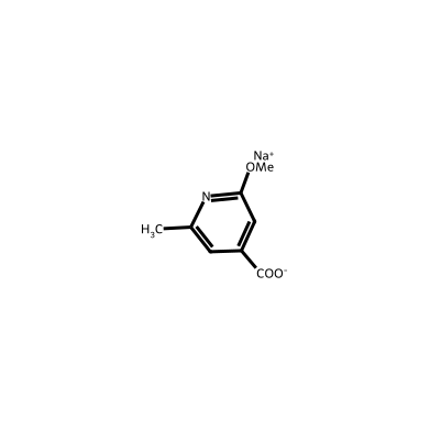 COc1cc(C(=O)[O-])cc(C)n1.[Na+]